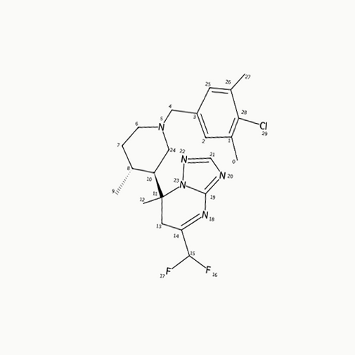 Cc1cc(CN2CC[C@@H](C)[C@H](C3(C)CC(C(F)F)=Nc4ncnn43)C2)cc(C)c1Cl